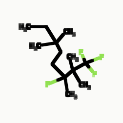 CCC(C)(C)CCC(C)(F)C(C)(C)C(F)(F)F